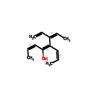 C=CC(=C/C)/C(/C=C\C)=C(O)\C=C/C